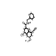 O=C(NCc1ccccn1)c1cc(Cl)c2cc(OC(F)(F)F)cc(Br)c2n1